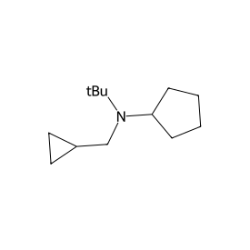 CC(C)(C)N(CC1CC1)C1CCCC1